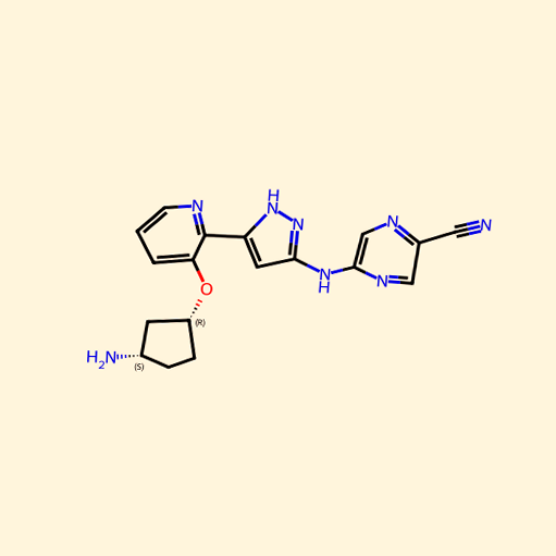 N#Cc1cnc(Nc2cc(-c3ncccc3O[C@@H]3CC[C@H](N)C3)[nH]n2)cn1